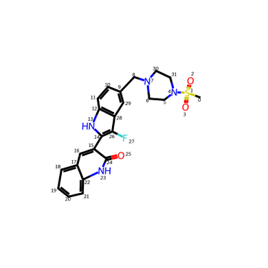 CS(=O)(=O)N1CCN(Cc2ccc3[nH]c(-c4cc5ccccc5[nH]c4=O)c(F)c3c2)CC1